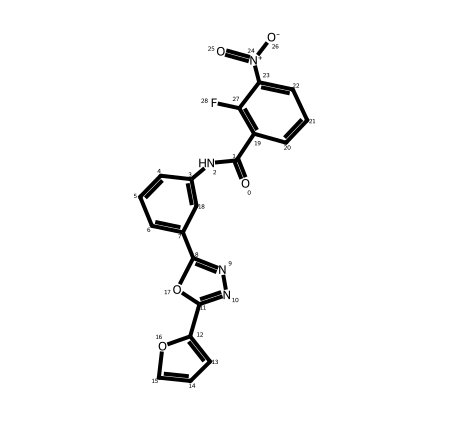 O=C(Nc1cccc(-c2nnc(-c3ccco3)o2)c1)c1cccc([N+](=O)[O-])c1F